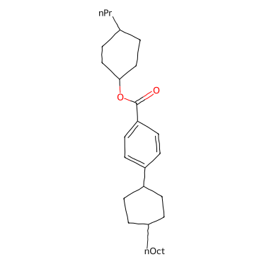 CCCCCCCCC1CCC(c2ccc(C(=O)OC3CCC(CCC)CC3)cc2)CC1